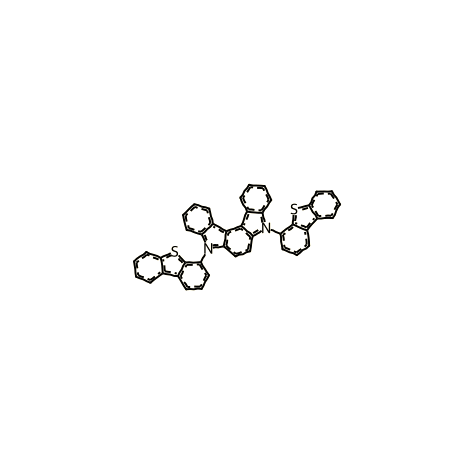 c1ccc2c(c1)sc1c(-n3c4ccccc4c4c5c6ccccc6n(-c6cccc7c6sc6ccccc67)c5ccc43)cccc12